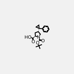 CC(C)(C)OC(=O)N1C[C@@H](C2(c3ccccc3)CC2)C[C@@H]1C(=O)O